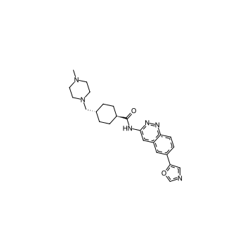 CN1CCN(C[C@H]2CC[C@H](C(=O)Nc3cc4cc(-c5cnco5)ccc4nn3)CC2)CC1